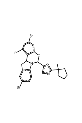 CC1(c2ncc(C3Oc4cc(Br)cc(F)c4C4Cc5cc(Br)ccc5N43)s2)CCCC1